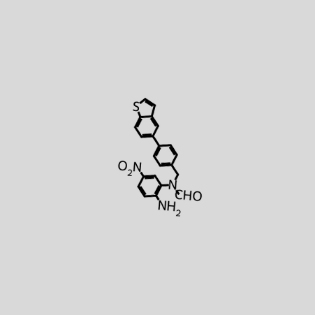 Nc1ccc([N+](=O)[O-])cc1N(C=O)Cc1ccc(-c2ccc3sccc3c2)cc1